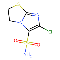 NS(=O)(=O)c1c(Cl)nc2n1CCS2